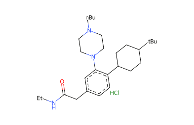 CCCCN1CCN(c2cc(CC(=O)NCC)ccc2C2CCC(C(C)(C)C)CC2)CC1.Cl